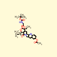 CCC1(OC(=O)CNC(=O)OC(C)(C)C)C(=O)OC([Si](C)(C)CC)c2c1cc1n(c2=O)Cc2cc3cc(OC(C)=O)ccc3nc2-1